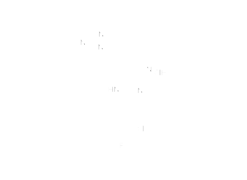 Cl.Fc1ccc(Nc2ncnc3ccc(-n4cncn4)cc23)cc1Cl